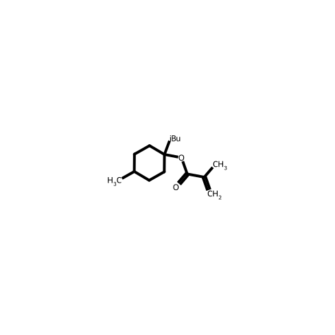 C=C(C)C(=O)OC1(C(C)CC)CCC(C)CC1